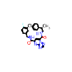 Cc1cc(CNC(=O)c2cc(C(=O)NC[C@@H](C)c3ccccc3)n3ncnc3n2)ccc1F